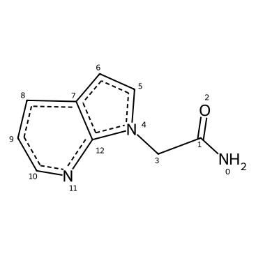 NC(=O)Cn1ccc2cccnc21